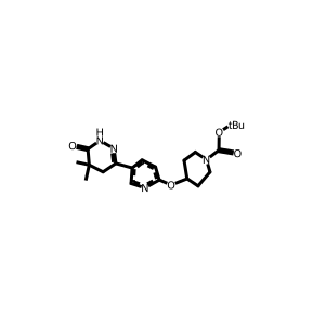 CC(C)(C)OC(=O)N1CCC(Oc2ccc(C3=NNC(=O)C(C)(C)C3)cn2)CC1